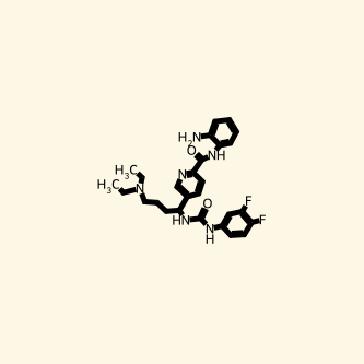 CCN(CC)CCCC(NC(=O)Nc1ccc(F)c(F)c1)c1ccc(C(=O)Nc2ccccc2N)nc1